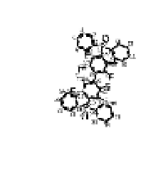 O=P(c1ccccc1)(c1ccccc1)c1c(F)c(F)c(-c2c(F)c(F)c(P(=O)(c3ccccc3)c3ccccc3)c(F)c2F)c(F)c1F